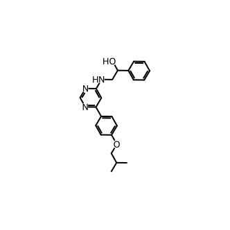 CC(C)COc1ccc(-c2cc(NCC(O)c3ccccc3)ncn2)cc1